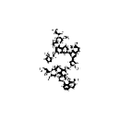 C=CC(=O)N1C[C@@H]2COc3c(OC[C@@H]4CC(c5cc6c(c(N7CCc8c(nc(OC[C@@H]9CCCN9C)c9c8N8C[C@@H](C)N(C(=O)C=C)C[C@@H]8CO9)C7)n5)N(C)C(=O)CC6)CN4C)nc4c(c3N2C[C@H]1C)CCN(c1cccc2c1C(=O)N(C)CC2)C4